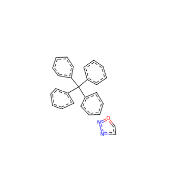 c1ccc(C(c2ccccc2)(c2ccccc2)c2ccccc2)cc1.c1conn1